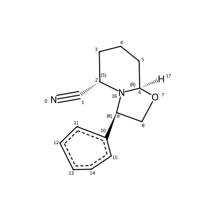 N#C[C@@H]1CCC[C@H]2OC[C@@H](c3ccccc3)N12